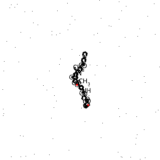 CCc1c2c(nc3ccc(OC(=O)N4CCC(N5CCCCC5)CC4)cc13)-c1cc3c(c(=O)n1C2)COC(=O)[C@@]3(CC)OCc1ccc(NC(=O)OC2CCC[C@]3(C2)OOC2(O3)C3CC4CC(C3)CC2C4)cc1